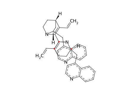 C=CC1=C(C2=C(C=C)[C@H]3CCN2[C@@H](Cc2ccnc4ccccc24)C3)N2CCC1C[C@@H]2Cc1ccnc2ccccc12